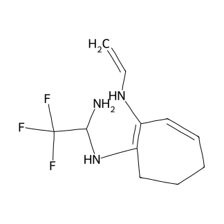 C=CNC1=C(NC(N)C(F)(F)F)CCCC=C1